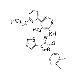 Cc1ccc(N2N=C(c3cccs3)/C(=N/Nc3cccc(-c4cccc(C(=O)O)c4)c3O)C2=O)cc1C